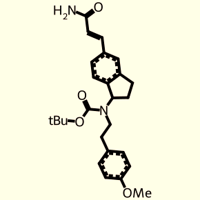 COc1ccc(CCN(C(=O)OC(C)(C)C)C2CCc3cc(/C=C/C(N)=O)ccc32)cc1